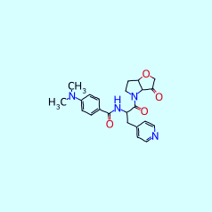 CN(C)c1ccc(C(=O)NC(Cc2ccncc2)C(=O)N2CCC3OCC(=O)C32)cc1